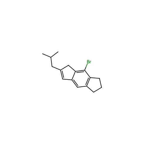 CC(C)CC1=Cc2cc3c(c(Br)c2C1)CCC3